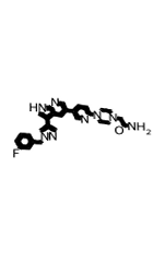 NC(=O)CN1CCN(c2ccc(-c3cnc4[nH]cc(-c5cnn(Cc6cccc(F)c6)c5)c4c3)cn2)CC1